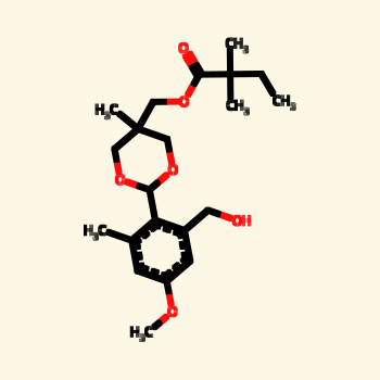 CCC(C)(C)C(=O)OCC1(C)COC(c2c(C)cc(OC)cc2CO)OC1